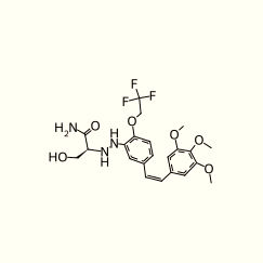 COc1cc(/C=C\c2ccc(OCC(F)(F)F)c(NN[C@@H](CO)C(N)=O)c2)cc(OC)c1OC